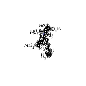 CC1(C)C(=CC=C(/C=C/C2N(CCCS(=O)(=O)O)c3ccc4c(S(=O)(=O)O)cc(S(=O)(=O)O)cc4c3C2(C)C)c2cc(C(=O)NCCC(=O)Nc3nnc(S(N)(=O)=O)s3)ccn2)N(CCCS(=O)(=O)O)c2ccc3c(S(=O)(=O)O)cc(S(=O)(=O)O)cc3c21